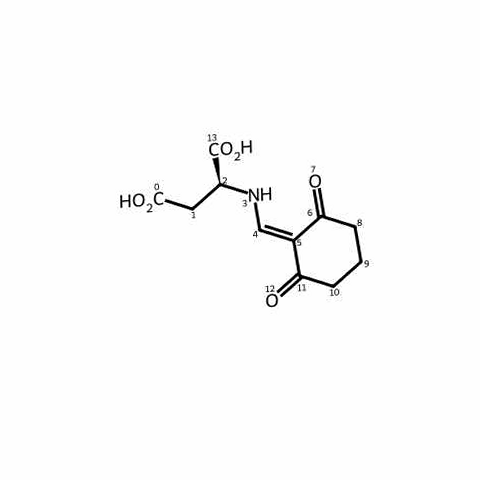 O=C(O)C[C@H](NC=C1C(=O)CCCC1=O)C(=O)O